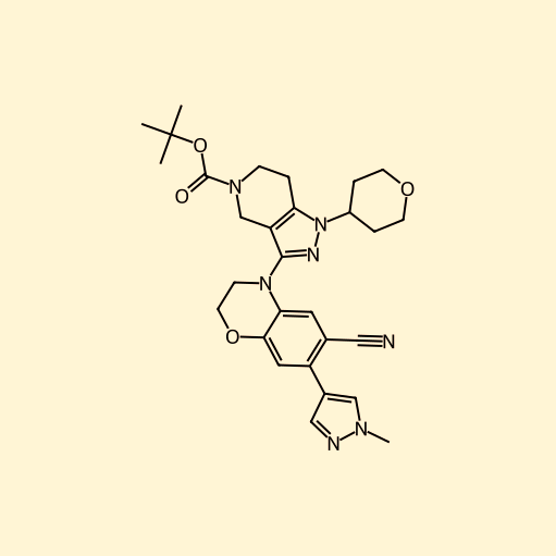 Cn1cc(-c2cc3c(cc2C#N)N(c2nn(C4CCOCC4)c4c2CN(C(=O)OC(C)(C)C)CC4)CCO3)cn1